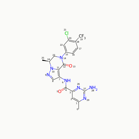 Cc1cc(C(=O)Nc2cnn3c2C(=O)N(c2ccc(C(F)(F)F)c(Cl)c2)C[C@@H]3C)nc(N)n1